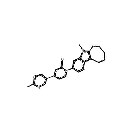 Cc1ncc(-c2ccn(-c3ccc4c5c(n(C)c4c3)CCCCC5)c(=O)c2)cn1